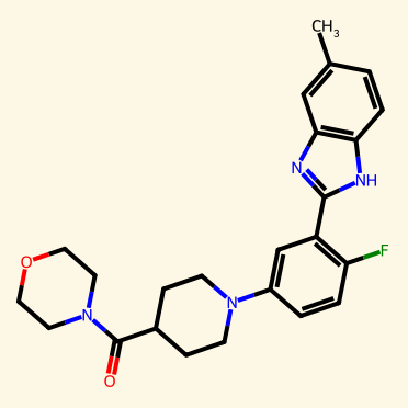 Cc1ccc2[nH]c(-c3cc(N4CCC(C(=O)N5CCOCC5)CC4)ccc3F)nc2c1